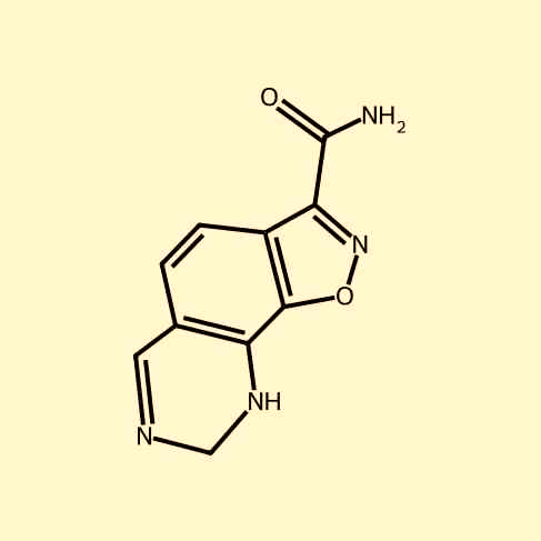 NC(=O)c1noc2c3c(ccc12)C=NCN3